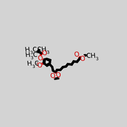 CCOC(=O)CCCCCCCCC1(CCc2ccc(OC(=O)C(C)(C)C)c(OC)c2)OCCO1